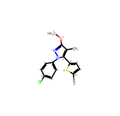 Cc1c(OC(=O)O)nn(-c2ccc(Cl)cc2)c1-c1ccc(Br)s1